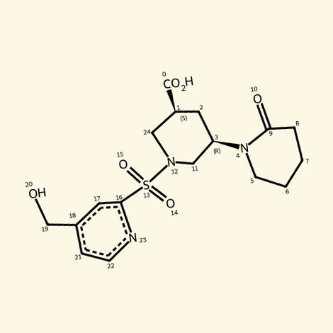 O=C(O)[C@H]1C[C@@H](N2CCCCC2=O)CN(S(=O)(=O)c2cc(CO)ccn2)C1